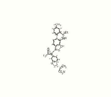 CCC(Nc1cccc2c1OC[C@H]2N(C(=O)C(F)(F)F)c1ccc2c(c1)OC[C@H]2C(C)C(=O)O)c1cc(C)ccn1